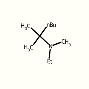 CCCCC(C)(C)N(C)CC